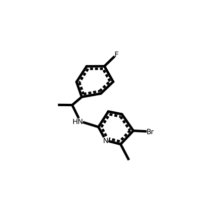 Cc1nc(NC(C)c2ccc(F)cc2)ccc1Br